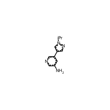 CC(C)n1cc(-c2cncc(N)c2)cn1